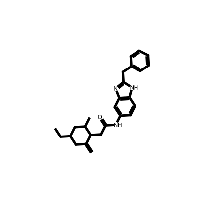 C=C1CC(CC)CC(C)C1CC(=O)Nc1ccc2[nH]c(Cc3ccccc3)nc2c1